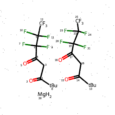 CC(C)(C)C(=O)CC(=O)C(F)(F)C(F)(F)C(F)(F)F.CC(C)(C)C(=O)CC(=O)C(F)(F)C(F)(F)C(F)(F)F.[MgH2]